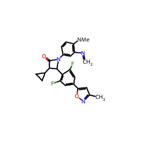 C=Nc1cc(N2C(=O)C(C3CC3)C2c2c(F)cc(-c3cc(C)no3)cc2F)ccc1NC